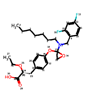 CCCCCCCN(Cc1ccc(F)cc1F)C1(Oc2ccc(C[C@@H](OCC)C(=O)O)cc2)CO1